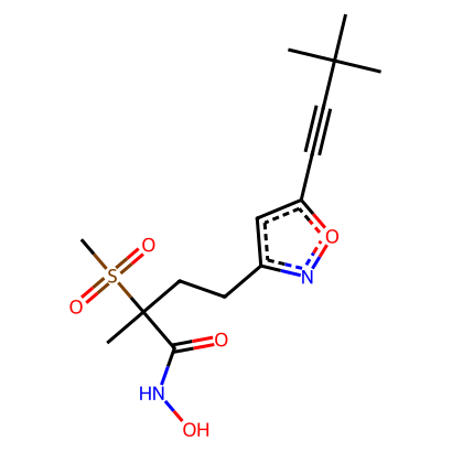 CC(C)(C)C#Cc1cc(CCC(C)(C(=O)NO)S(C)(=O)=O)no1